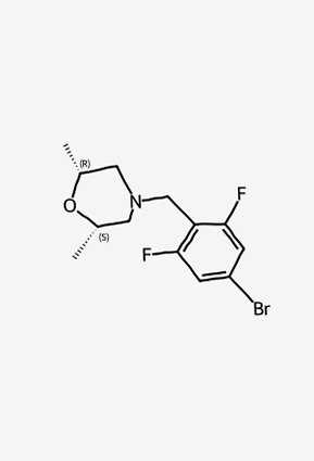 C[C@@H]1CN(Cc2c(F)cc(Br)cc2F)C[C@H](C)O1